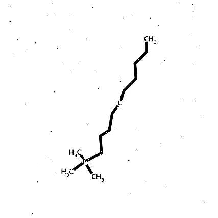 CCCCCCCCCC[P](C)(C)C